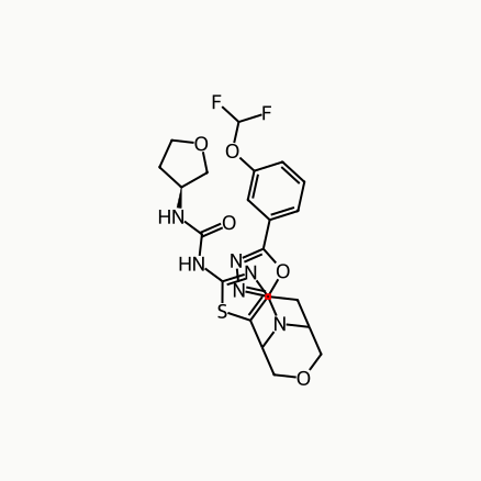 O=C(Nc1nc2c(s1)C1COCC(C2)N1c1nnc(-c2cccc(OC(F)F)c2)o1)N[C@H]1CCOC1